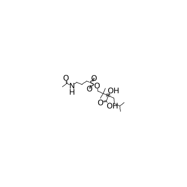 CC(=O)NCCCS(=O)(=O)OCC(C)(C)[C@](O)(CCC(C)C)C(=O)O